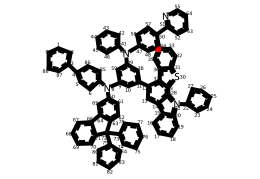 c1ccc(-c2ccc(N(c3cc(-c4cc5c6ccccc6n(-c6ccccc6)c5c5sc6ccccc6c45)cc(N(c4ccccc4)c4ccc(-c5ccccn5)cc4)c3)c3ccc4c(c3)-c3ccccc3C4(c3ccccc3)c3ccccc3)cc2)cc1